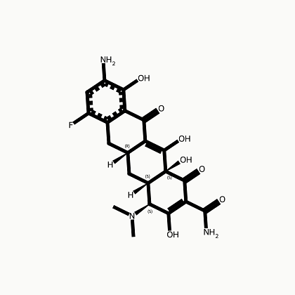 CN(C)[C@@H]1C(O)=C(C(N)=O)C(=O)[C@@]2(O)C(O)=C3C(=O)c4c(O)c(N)cc(F)c4C[C@H]3C[C@@H]12